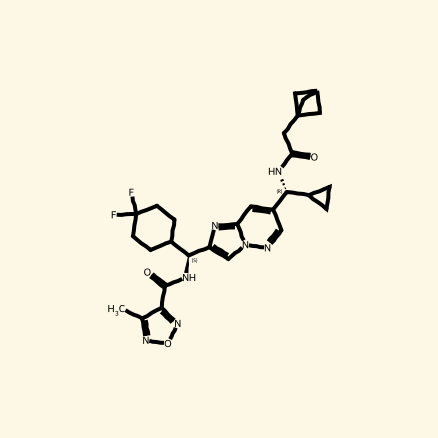 Cc1nonc1C(=O)N[C@H](c1cn2ncc([C@H](NC(=O)CC34CC(C3)C4)C3CC3)cc2n1)C1CCC(F)(F)CC1